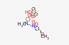 CO/C=C/c1ccc2c(c1)oc(=O)n2CCCN(C)[C@H]1CC[C@H](OC(=O)C(O)(c2cccs2)c2cccs2)CC1